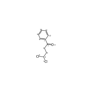 O=C(CCC(Cl)Cl)c1ccccc1